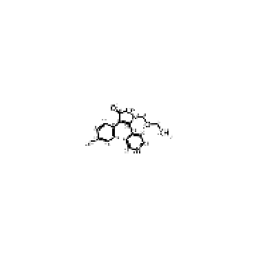 CCOCn1oc(=O)c(-c2ccc(F)cc2)c1-c1ccncc1